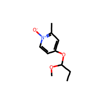 CCC(OC)Oc1cc[n+]([O-])c(C)c1